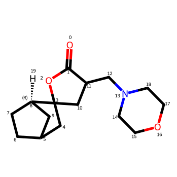 O=C1OC2(CC3CC[C@@H]2C3)CC1CN1CCOCC1